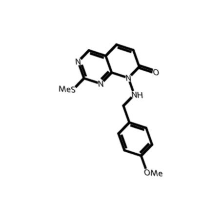 COc1ccc(CNn2c(=O)ccc3cnc(SC)nc32)cc1